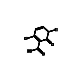 O=C(O)C1=C(Cl)C=CC(Cl)C1=O